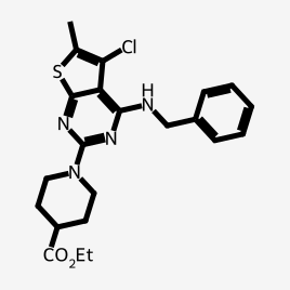 CCOC(=O)C1CCN(c2nc(NCc3ccccc3)c3c(Cl)c(C)sc3n2)CC1